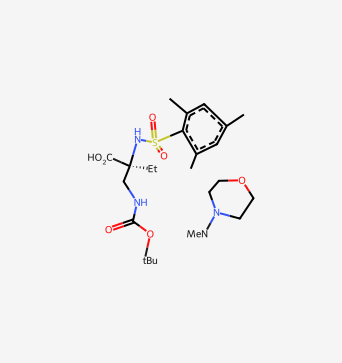 CC[C@@](CNC(=O)OC(C)(C)C)(NS(=O)(=O)c1c(C)cc(C)cc1C)C(=O)O.CNN1CCOCC1